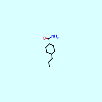 CCC[C@H]1CC[C@H](C(N)=O)CC1